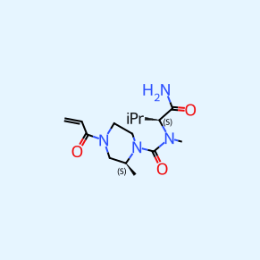 C=CC(=O)N1CCN(C(=O)N(C)[C@H](C(N)=O)C(C)C)[C@@H](C)C1